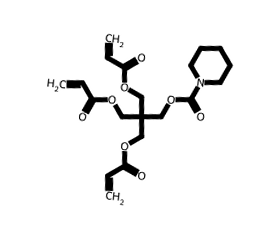 C=CC(=O)OCC(COC(=O)C=C)(COC(=O)C=C)COC(=O)N1CCCCC1